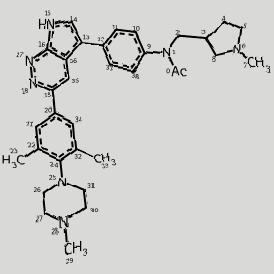 CC(=O)N(CC1CCN(C)C1)c1ccc(-c2c[nH]c3nnc(-c4cc(C)c(N5CCN(C)CC5)c(C)c4)cc23)cc1